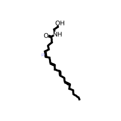 CCCCCC=CCC=CCC=CC/C=C\CCCC(=O)NCCO